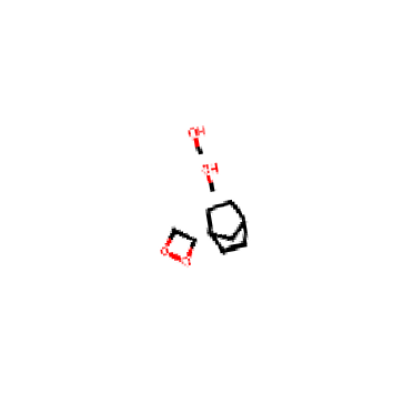 C1CC2CCC1C2.C1COO1.CO.CO